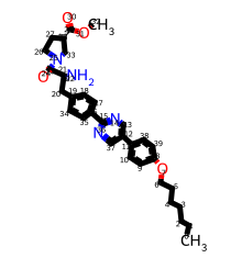 CCCCCCCOc1ccc(-c2cnc(-c3ccc(C[C@H](N)C(=O)N4CC[C@H](C(=O)OC)C4)cc3)nc2)cc1